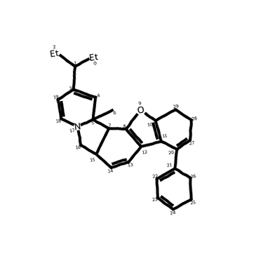 CCC(CC)C1=CC2(C)C3c4oc5c(c4C=CC3CN2C=C1)C(C1=CC=CCC1)=CCC5